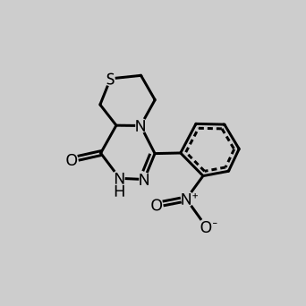 O=C1NN=C(c2ccccc2[N+](=O)[O-])N2CCSCC12